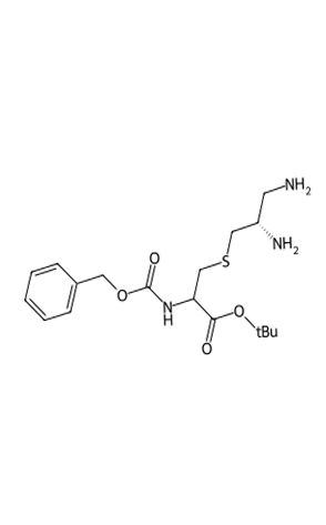 CC(C)(C)OC(=O)C(CSC[C@@H](N)CN)NC(=O)OCc1ccccc1